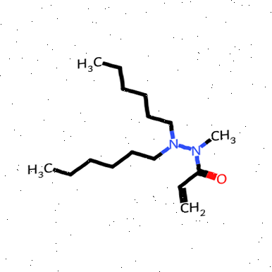 C=CC(=O)N(C)N(CCCCCC)CCCCCC